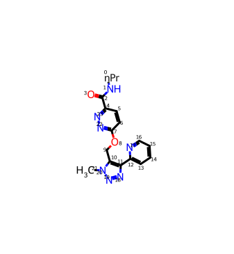 CCCNC(=O)c1ccc(OCc2c(-c3ccccn3)nnn2C)nn1